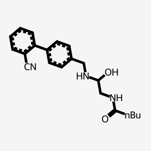 CCCCC(=O)NCC(O)NCc1ccc(-c2ccccc2C#N)cc1